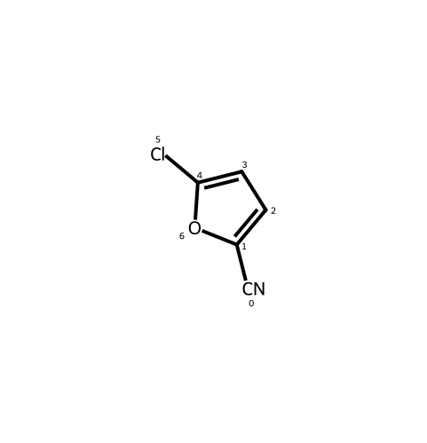 N#Cc1ccc(Cl)o1